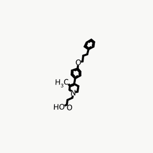 CC1=C(c2ccc(OCCCc3ccccc3)cc2)CCN(CCC(=O)O)C1